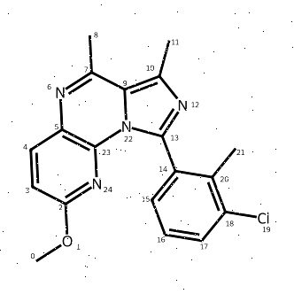 COc1ccc2nc(C)c3c(C)nc(-c4cccc(Cl)c4C)n3c2n1